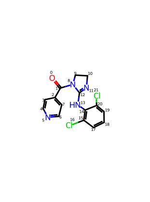 O=C(c1ccncc1)N1CCN=C1Nc1c(Cl)cccc1Cl